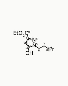 CCOC(=O)c1cc(O)n(CCC(C)C)n1